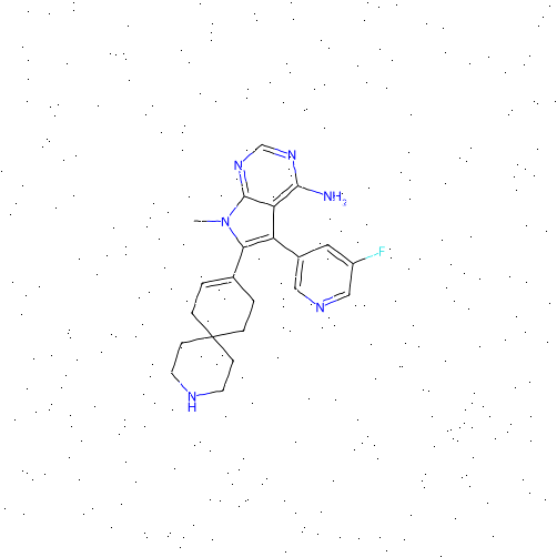 Cn1c(C2=CCC3(CCNCC3)CC2)c(-c2cncc(F)c2)c2c(N)ncnc21